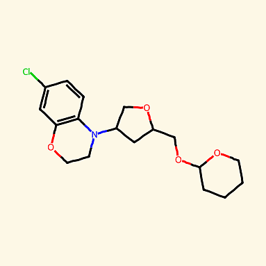 Clc1ccc2c(c1)OCCN2C1COC(COC2CCCCO2)C1